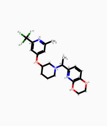 Cc1cc(OC2CCCN(C(C)c3ccc4c(n3)OCCO4)C2)cc(C(F)(F)F)n1